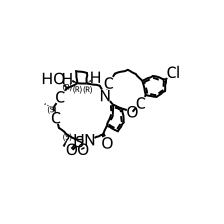 C[C@H]1CC[C@H](C)S(=O)(=O)NC(=O)c2ccc3c(c2)N(CCCCc2cc(Cl)ccc2CO3)C[C@@H]2CC[C@H]2[C@H](O)C1